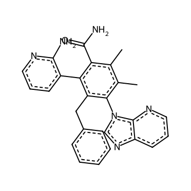 Cc1c(C)c(-n2cnc3cccnc32)c(Cc2ccccc2)c(-c2cccnc2N)c1C(N)=O